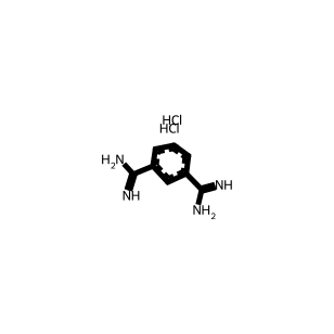 Cl.Cl.N=C(N)c1c[c]cc(C(=N)N)c1